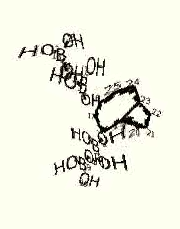 OB(O)O.OB(O)O.OB(O)O.OB(O)O.c1ccc2cccc-2cc1